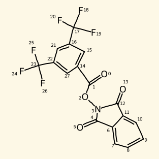 O=C(ON1C(=O)c2ccccc2C1=O)c1cc(C(F)(F)F)cc(C(F)(F)F)c1